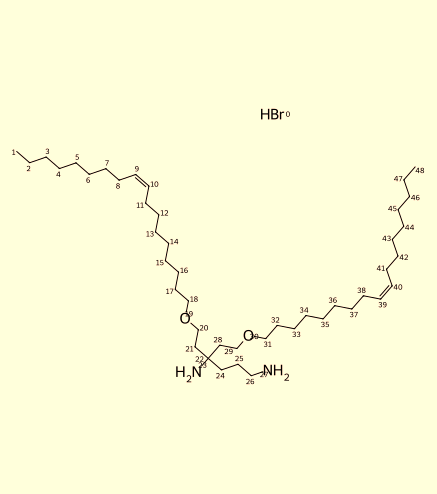 Br.CCCCCCCC/C=C\CCCCCCCCOCCC(N)(CCCN)CCOCCCCCCCC/C=C\CCCCCCCC